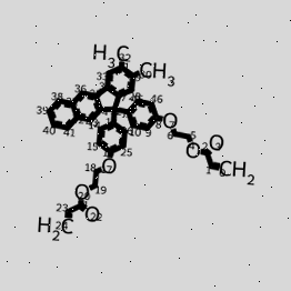 C=CC(=O)OCCOc1ccc(C2(c3ccc(OCCOC(=O)C=C)cc3)c3cc(C)c(C)cc3-c3cc4ccccc4cc32)cc1